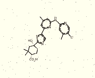 Cc1cc(Nc2cc(C)c(Cl)cn2)nc(-c2cnc([C@@]3(O)CC[C@H](C(=O)O)C(C)(C)C3)s2)c1